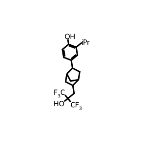 CC(C)c1cc(C2CC3CC2CC3CC(O)(C(F)(F)F)C(F)(F)F)ccc1O